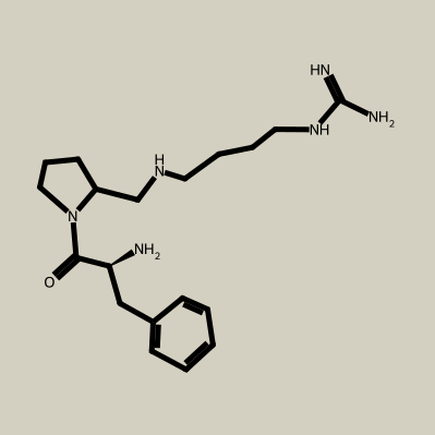 N=C(N)NCCCCNCC1CCCN1C(=O)[C@@H](N)Cc1ccccc1